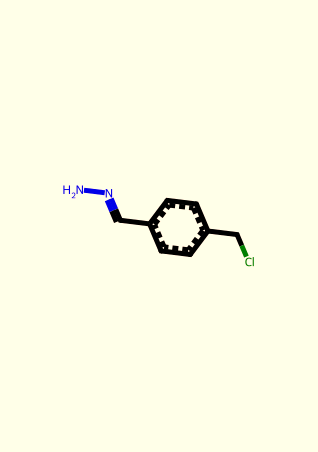 NN=Cc1ccc(CCl)cc1